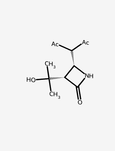 CC(=O)C(C(C)=O)[C@@H]1NC(=O)[C@@H]1C(C)(C)O